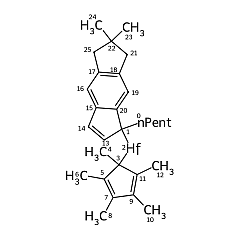 CCCCC[C]1([Hf][C]2(C)C(C)=C(C)C(C)=C2C)C=Cc2cc3c(cc21)CC(C)(C)C3